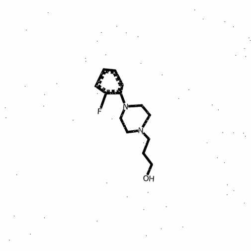 OCCCN1CCN(c2ccccc2F)CC1